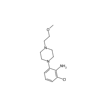 COCCN1CCN(c2cccc(Cl)c2N)CC1